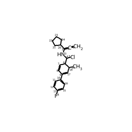 C=C=C(NC(Cl)C1C=CC(c2ccc(F)cc2)=CC1C)C1CCCC1